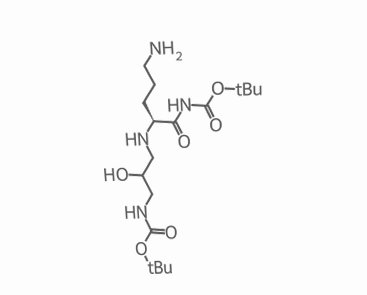 CC(C)(C)OC(=O)NCC(O)CN[C@@H](CCCN)C(=O)NC(=O)OC(C)(C)C